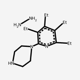 CCc1nc(N2CCNCC2)c(CC)c(CC)c1CC.NN